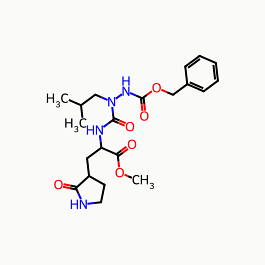 COC(=O)C(CC1CCNC1=O)NC(=O)N(CC(C)C)NC(=O)OCc1ccccc1